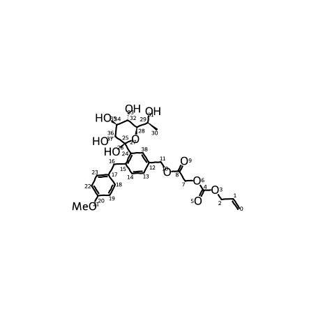 C=CCOC(=O)OCC(=O)OCc1ccc(Cc2ccc(OC)cc2)c([C@@]2(O)O[C@H]([C@H](C)O)[C@@H](O)[C@H](O)[C@H]2O)c1